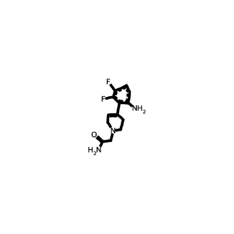 NC(=O)CN1CC=C(c2c(N)ccc(F)c2F)CC1